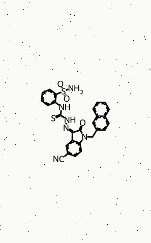 N#Cc1ccc2c(c1)C(=NNC(=S)Nc1ccccc1S(N)(=O)=O)C(=O)N2Cc1ccc2ccccc2c1